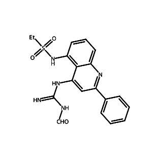 CCS(=O)(=O)Nc1cccc2nc(-c3ccccc3)cc(NC(=N)NC=O)c12